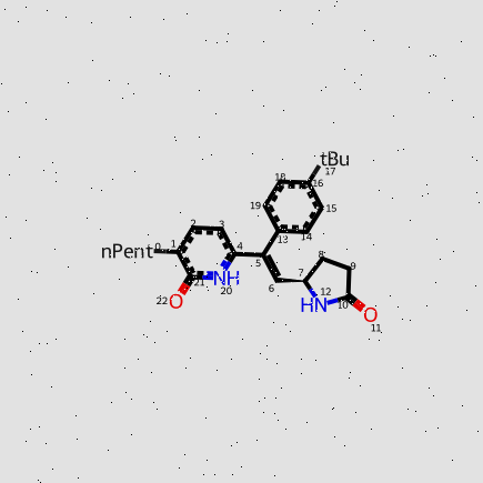 CCCCCc1ccc(C(=C[C@H]2CCC(=O)N2)c2ccc(C(C)(C)C)cc2)[nH]c1=O